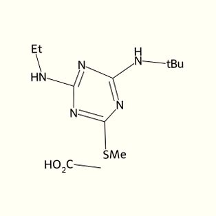 CC(=O)O.CCNc1nc(NC(C)(C)C)nc(SC)n1